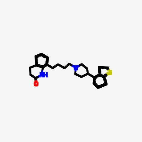 O=C1CCc2cccc(CCCCN3CCC(c4cccc5sccc45)CC3)c2N1